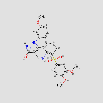 COc1cccc(Nc2c(C(N)=O)cnc3c(S(=O)(=O)c4ccc(OC)c(OC)c4)cccc23)c1